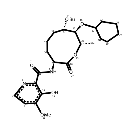 COc1ccnc(C(=O)N[C@H]2CCC[C@H](OCC(C)C)[C@@H](OC3CCCCC3)[C@H](C)OC2=O)c1O